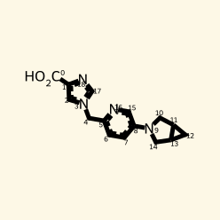 O=C(O)c1cn(Cc2ccc(N3CC4CC4C3)cn2)cn1